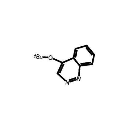 CC(C)(C)Oc1cnnc2ccccc12